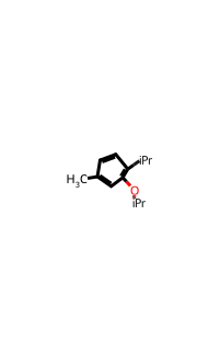 Cc1ccc(C(C)C)c(OC(C)C)c1